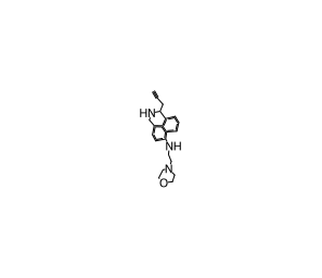 C#CCC1NCc2ccc(NCCN3CCOCC3)c3cccc1c23